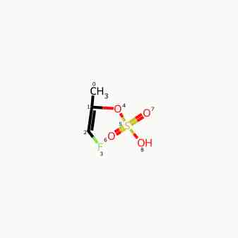 CC(=CF)OS(=O)(=O)O